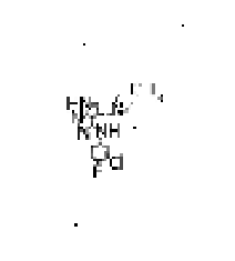 CC1CCN(Cc2c[nH]c3ncnc(Nc4ccc(F)c(Cl)c4)c23)CC1